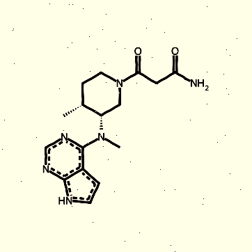 C[C@@H]1CCN(C(=O)CC(N)=O)C[C@@H]1N(C)c1ncnc2[nH]ccc12